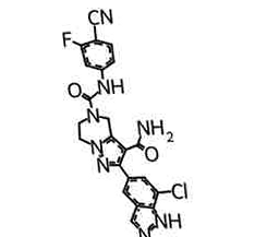 N#Cc1ccc(NC(=O)N2CCn3nc(-c4cc(Cl)c5[nH]ncc5c4)c(C(N)=O)c3C2)cc1F